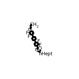 C=CCOc1ccc(-c2ccc(-c3ccc(C4OCC(CCCCCCC)CO4)c(F)c3F)cc2)c(F)c1F